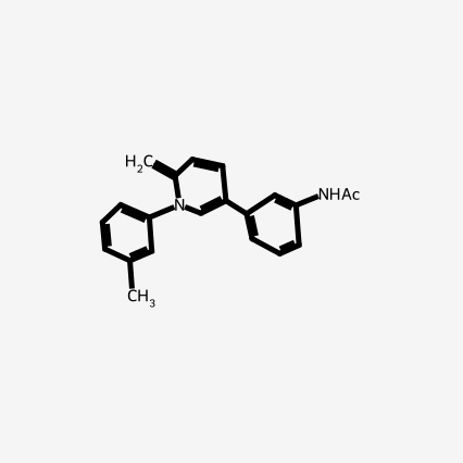 C=C1C=CC(c2cccc(NC(C)=O)c2)=CN1c1cccc(C)c1